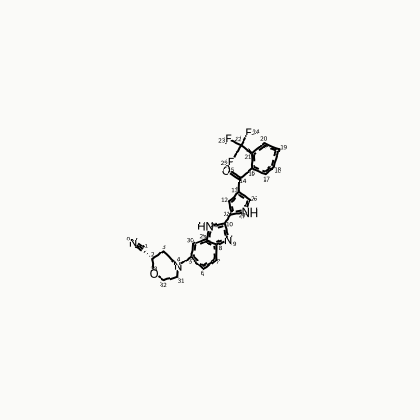 N#C[C@@H]1CN(c2ccc3nc(-c4cc(C(=O)c5ccccc5C(F)(F)F)c[nH]4)[nH]c3c2)CCO1